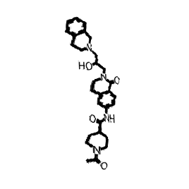 CC(=O)N1CCC(C(=O)Nc2ccc3c(c2)CCN(CC(O)CN2CCc4ccccc4C2)C3=O)CC1